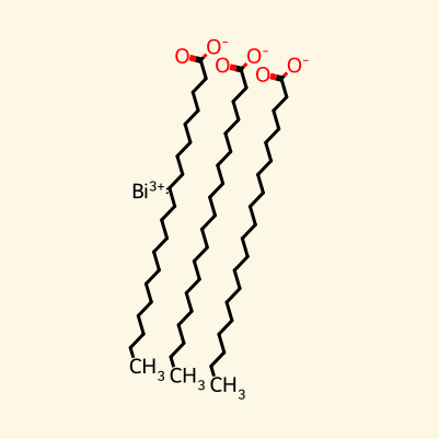 CCCCCCCCCCCCCCCCCCCC(=O)[O-].CCCCCCCCCCCCCCCCCCCC(=O)[O-].CCCCCCCCCCCCCCCCCCCC(=O)[O-].[Bi+3]